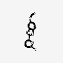 S=C=Nc1ccc2sc(-c3cccc(Cl)n3)nc2c1